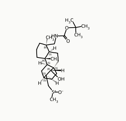 C[S+]([O-])C[C@H]1[C@H]2CC[C@@]3(CC[C@@H]4[C@](C)(CNC(=O)OC(C)(C)C)CCC[C@@]4(C)[C@@H]3C2)[C@@H]1O